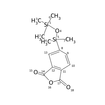 C[Si](C)(C)O[Si](C)(C)c1ccc2c(c1)C(=O)OC2=O